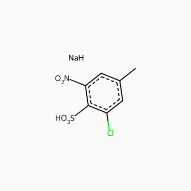 Cc1cc(Cl)c(S(=O)(=O)O)c([N+](=O)[O-])c1.[NaH]